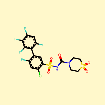 O=C(NS(=O)(=O)c1cc(-c2c(F)cc(F)c(F)c2F)c(F)cc1Cl)N1CCS(=O)(=O)CC1